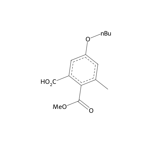 CCCCOc1cc(C)c(C(=O)OC)c(C(=O)O)c1